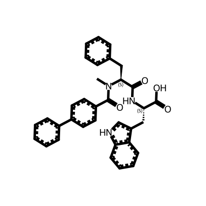 CN(C(=O)c1ccc(-c2ccccc2)cc1)[C@@H](Cc1ccccc1)C(=O)N[C@@H](Cc1c[nH]c2ccccc12)C(=O)O